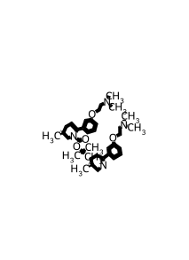 C[C@H]1CC=C(c2cccc(OCCN(C)C)c2)N(C(=O)OC(C)(C)C)C1.C[C@H]1CCC(c2cccc(OCCN(C)C)c2)=NC1